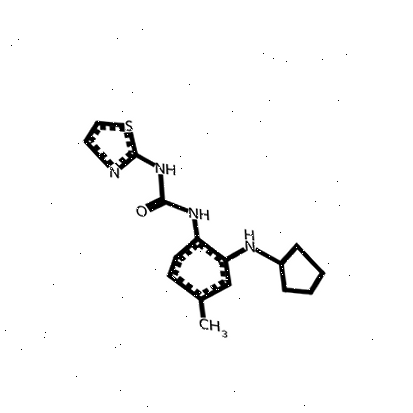 Cc1ccc(NC(=O)Nc2nccs2)c(NC2CCCC2)c1